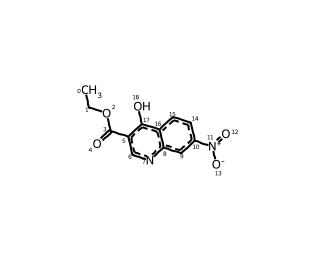 CCOC(=O)c1cnc2cc([N+](=O)[O-])ccc2c1O